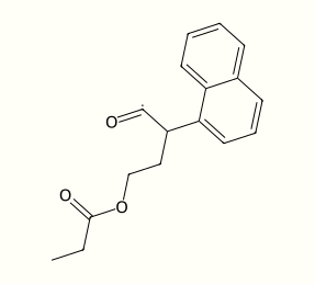 CCC(=O)OCCC([C]=O)c1cccc2ccccc12